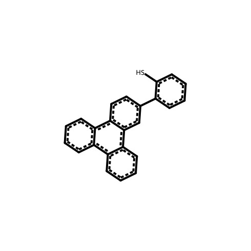 Sc1ccccc1-c1ccc2c3ccccc3c3ccccc3c2c1